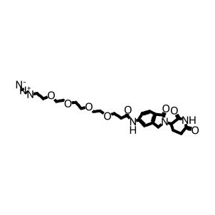 [N-]=[N+]=NCCOCCOCCOCCOCCC(=O)Nc1ccc2c(c1)CN(C1CCC(=O)NC1=O)C2=O